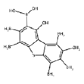 Bc1c(B)c(B)c2c(sc3c(B)c(B)c(B(O)O)c(O)c32)c1B